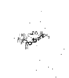 CN(C)Cc1c[nH]c2ccc(-c3ccc(N4CC5CN(C)CC5C4)nn3)cc12.O=C(O)C=CC(=O)O